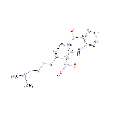 CN(C)CCCCc1ccnc(Nc2ccccc2C=O)c1[N+](=O)[O-]